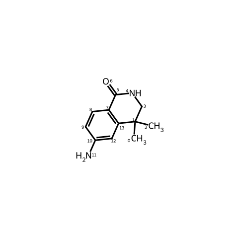 CC1(C)CNC(=O)c2ccc(N)cc21